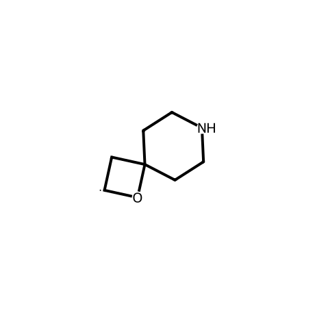 [CH]1CC2(CCNCC2)O1